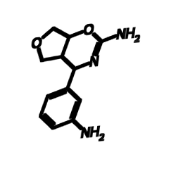 NC1=NC(c2cccc(N)c2)C2COCC2O1